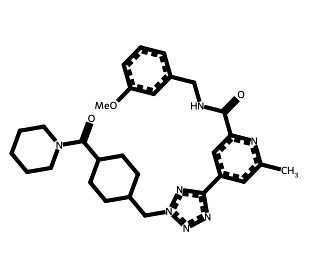 COc1cccc(CNC(=O)c2cc(-c3nnn(CC4CCC(C(=O)N5CCCCC5)CC4)n3)cc(C)n2)c1